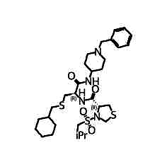 CC([3CH3])CS(=O)(=O)N1CSC[C@H]1C(=O)N[C@@H](CSCC1CCCCC1)C(=O)NC1CCN(Cc2ccccc2)CC1